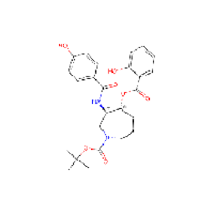 CC(C)(C)OC(=O)N1CCC[C@@H](OC(=O)c2ccccc2O)[C@H](NC(=O)c2ccc(O)cc2)C1